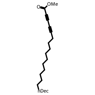 CCCCCCCCCCCCCCCCCCCCC#CC#CC(=O)OC